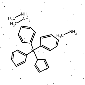 C1=C[C]([Si](c2ccccc2)(c2ccccc2)c2ccccc2)C=C1.CN.CN.CN